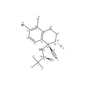 CC(C)(C)[S@+]([O-])N[C@]1(C#N)c2ccc(Br)c(F)c2OC[C@@H]1F